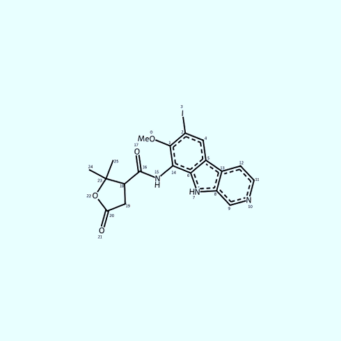 COc1c(I)cc2c([nH]c3cnccc32)c1NC(=O)C1CC(=O)OC1(C)C